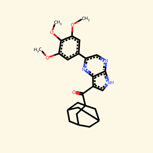 COc1cc(-c2cnc3[nH]cc(C(=O)C45CC6CC(CC(C6)C4)C5)c3n2)cc(OC)c1OC